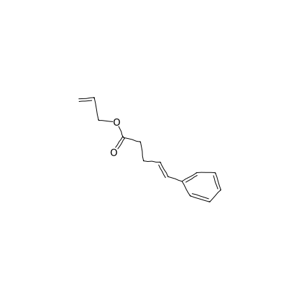 C=CCOC(=O)CCC=Cc1ccccc1